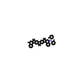 Cc1ccccc1N(c1ccccc1C)c1cc2c(c3ccccc13)-c1cc3c(cc1C2(C)C)-c1cc2c(cc1C3(C)C)-c1c(cc(C)c3ccccc13)C2(C)C